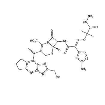 CC(C)(ON=C(C(=O)NC1C(=O)N2C(C(=O)O)=C(C(=S)c3c4c(nc5nc(CO)nn35)CCC4)CS[C@@H]12)c1csc(N)n1)C(=O)NN